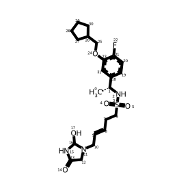 C[C@@H](NS(=O)(=O)CC/C=C/CN1CC(=O)NC1O)c1ccc(F)c(OCC2CCCC2)c1